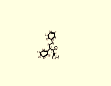 C#CC(=O)C(CCc1ccccc1)c1ccccc1